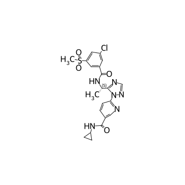 C[C@H](NC(=O)c1cc(Cl)cc(S(C)(=O)=O)c1)c1ncnn1-c1ccc(C(=O)NC2CC2)cn1